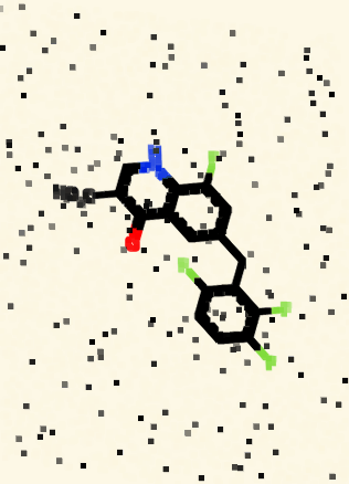 O=C(O)c1c[nH]c2c(F)cc(Cc3c(F)ccc(F)c3F)cc2c1=O